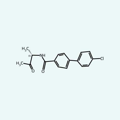 CC(=O)[C@H](C)NC(=O)c1ccc(-c2ccc(Cl)cc2)cc1